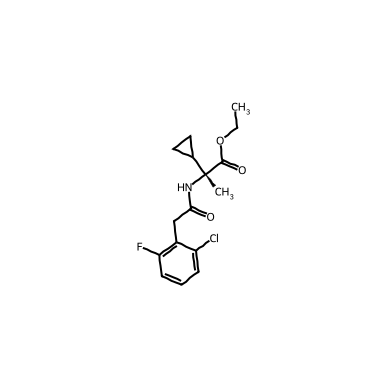 CCOC(=O)[C@](C)(NC(=O)Cc1c(F)cccc1Cl)C1CC1